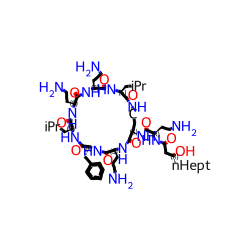 CCCCCCC[C@@H](O)CC(=O)N[C@H](CCN)C(=O)N[C@H]1CCNC(=O)[C@H](CC(C)C)NC(=O)[C@H](CCN)NC(=O)[C@H](CCN)NC(=O)[C@H](CC(C)C)NC(=O)[C@@H](Cc2ccccc2)NC(=O)[C@H](CCCN)NC1=O